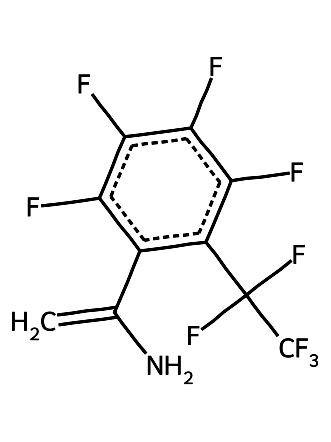 C=C(N)c1c(F)c(F)c(F)c(F)c1C(F)(F)C(F)(F)F